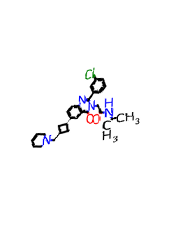 CC(C)NC(=O)Cn1c(-c2cccc(Cl)c2)nc2ccc([C@H]3C[C@H](CN4CC=CCC4)C3)cc2c1=O